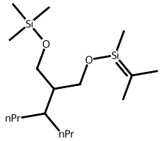 CCCC(CCC)C(CO[Si](C)=C(C)C)CO[Si](C)(C)C